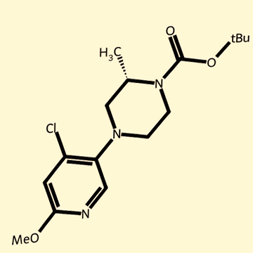 COc1cc(Cl)c(N2CCN(C(=O)OC(C)(C)C)[C@@H](C)C2)cn1